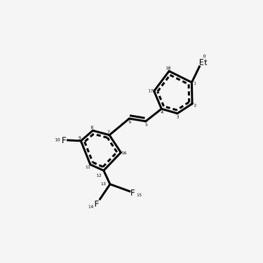 CCc1ccc(/C=C/c2cc(F)cc(C(F)F)c2)cc1